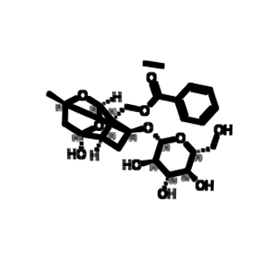 CC.C[C@@]12C[C@@]3(O)O[C@@H](O1)[C@]1(COC(=O)c4ccccc4)[C@H]3C[C@@]12O[C@@H]1O[C@H](CO)[C@@H](O)[C@H](O)[C@H]1O